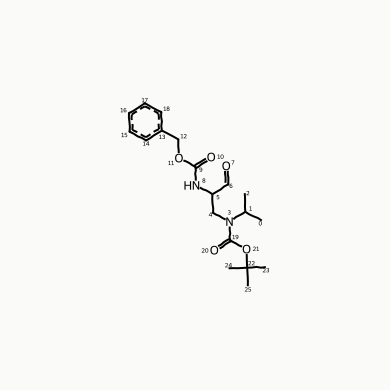 CC(C)N(CC(C=O)NC(=O)OCc1ccccc1)C(=O)OC(C)(C)C